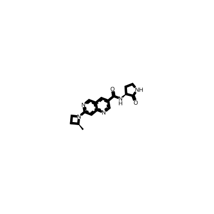 C[C@H]1CCN1c1cc2ncc(C(=O)N[C@H]3CCNC3=O)cc2cn1